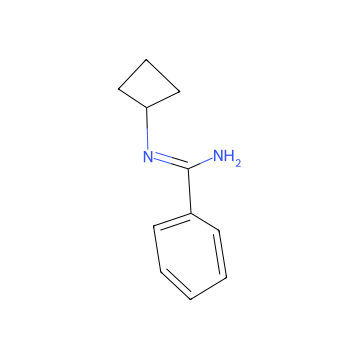 NC(=NC1CCC1)c1ccccc1